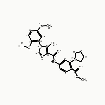 COC(=O)c1ccc(NC(=O)c2nnn(-c3cc(OC)ccc3OC)c2C)cc1N1CCCC1